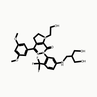 COc1cc(OC)cc(-c2nn(-c3cc(NCC(CO)CO)ccc3C(F)(F)F)c(=O)c3c2CCN3CCO)c1